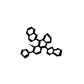 Fc1c(-c2ccccc2)ccc2c(-c3ccc4ccccc4c3)c3ccccc3c(-c3ccc4ccccc4c3)c12